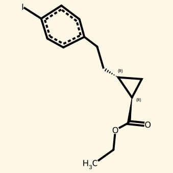 CCOC(=O)[C@@H]1C[C@H]1CCc1ccc(I)cc1